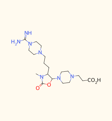 CN1C(=O)OC(N2CCN(CCC(=O)O)CC2)C1CCCN1CCN(C(=N)N)CC1